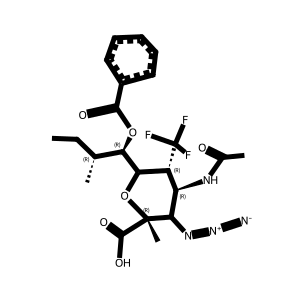 CC[C@@H](C)[C@@H](OC(=O)c1ccccc1)C1O[C@@](C)(C(=O)O)C(N=[N+]=[N-])[C@H](NC(C)=O)[C@H]1C(F)(F)F